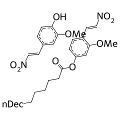 CCCCCCCCCCCCCCCC(=O)Oc1ccc(C=C[N+](=O)[O-])c(OC)c1.COc1cc(C=C[N+](=O)[O-])ccc1O